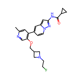 Cc1cc(-c2ccn3nc(NC(=O)C4CC4)cc3c2)c(OCC2CN(CCF)C2)cn1